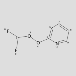 FC(F)OOc1ccccn1